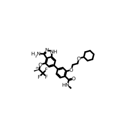 CNC(=O)c1ccc(-c2cc(O[C@H](C)C(F)(F)F)c3c(N)n[nH]c3c2)cc1OCCOC1CCCCC1